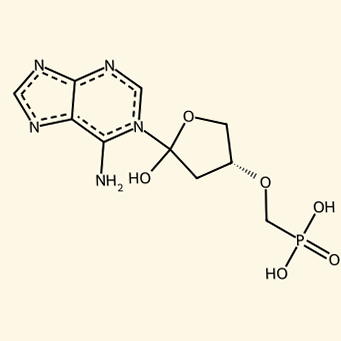 Nc1c2ncnc-2ncn1C1(O)C[C@@H](OCP(=O)(O)O)CO1